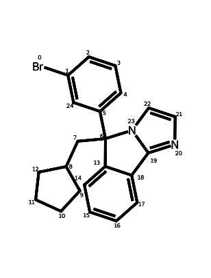 Brc1cccc(C2(CC3CCCC3)c3ccccc3-c3nccn32)c1